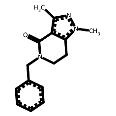 Cc1nn(C)c2c1C(=O)N(Cc1ccccc1)CC2